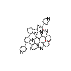 c1ccc2c(C(c3ccnc4ccccc34)=c3n4c5ncc(-c6ccncc6)nc5c5cccc(c6ccc(-c7ccncc7)c7c8nccnc8n3c67)c54)ccnc2c1